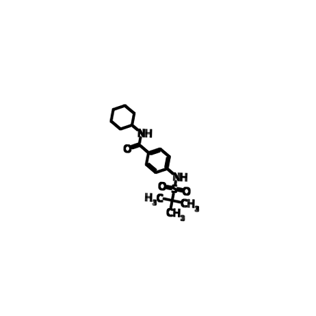 CC(C)(C)S(=O)(=O)Nc1ccc(C(=O)NC2CCCCC2)cc1